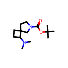 CN(C)C1CCC12CCN(C(=O)OC(C)(C)C)C2